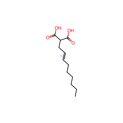 CCCCCC/C=C/CC(C(=O)O)C(=O)O